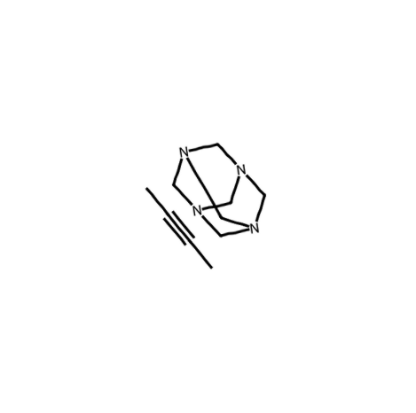 C1N2CN3CN1CN(C2)C3.CC#CC